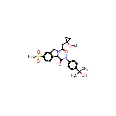 CCOC1(CC(=O)N2Cc3cc(S(C)(=O)=O)ccc3C2C(=O)Nc2ccc(C(O)(C(F)(F)F)C(F)(F)F)cc2)CC1